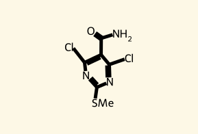 CSc1nc(Cl)c(C(N)=O)c(Cl)n1